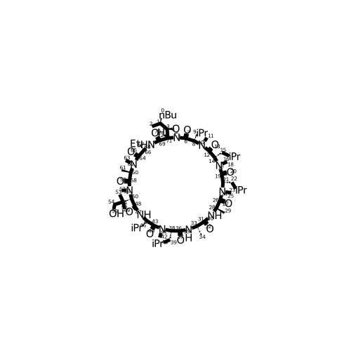 CCCC[C@@H](C)[C@H]1ON2C(=O)[C@H](C(C)C)N(C)C(=O)[C@H](CC(C)C)N(C)C(=O)[C@H](CC(C)C)N(C)C(=O)[C@@H](C)NC(=O)[C@H](C)NC(=O)[C@H](CC(C)C)N(C)C(=O)[C@H](C(C)C)NC(=O)[C@H](C(C)(C)CO)N(C)C(=O)[C@@H](C)N(C)C(=O)[C@H](CC)NC(=O)[C@H]12